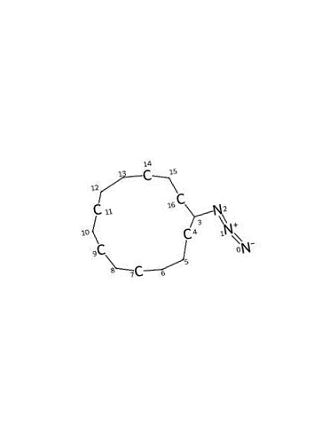 [N-]=[N+]=NC1CCCCCCCCCCCCC1